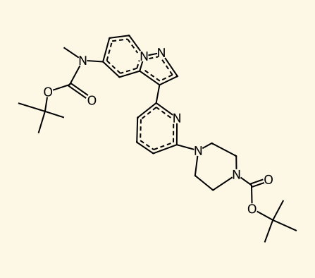 CN(C(=O)OC(C)(C)C)c1ccn2ncc(-c3cccc(N4CCN(C(=O)OC(C)(C)C)CC4)n3)c2c1